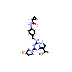 CC(C)c1cnn2c(NCc3ccc(NC(=O)C4(F)CC4)cc3)nc(N3CC[C@H](O)C3)nc12